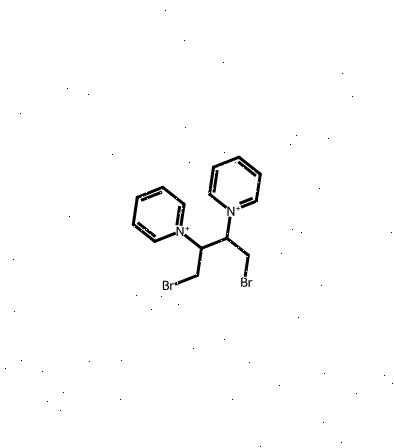 BrCC(C(CBr)[n+]1ccccc1)[n+]1ccccc1